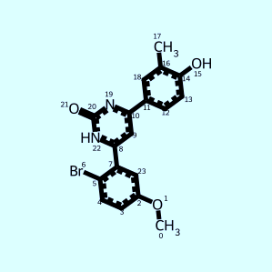 COc1ccc(Br)c(-c2cc(-c3ccc(O)c(C)c3)nc(=O)[nH]2)c1